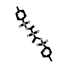 C=C(OS(=O)(=O)c1ccc(C)cc1)S(=O)(=O)C(=C)OS(=O)(=O)c1ccc(C)cc1